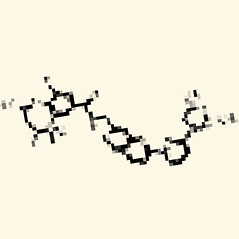 CC1CC(F)S(=O)(=O)c2cc(C(=O)NCc3cc4nc(-c5cccc(N6C[C@@H](C)O[C@@H](C)C6)n5)ccc4cn3)cc(F)c2O1